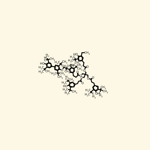 CCc1cc(CCC(=O)OCC(COC(=O)CCc2cc(C(C)(C)C)c(O)c(C(C)(C)C)c2)(COC(=O)CCc2cc(C(C)(C)C)c(O)c(C(C)(C)C)c2)COC(=O)CCc2cc(C(C)(C)C)c(O)c(C(C)(C)COc3c(C(C)(C)C)cc(-c4cc(C(C)(C)C)c(O)c(C(C)(C)C)c4)cc3C(C)(C)C)c2)cc(C(C)(C)C)c1O